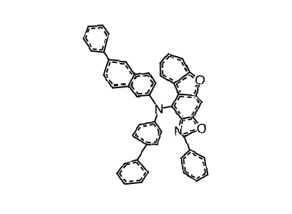 c1ccc(-c2ccc(N(c3ccc4cc(-c5ccccc5)ccc4c3)c3c4nc(-c5ccccc5)oc4cc4oc5ccccc5c34)cc2)cc1